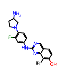 CC(C)c1c(O)ccc2cnc(Nc3ccc(N4CCC(N)C4)c(F)c3)nc12